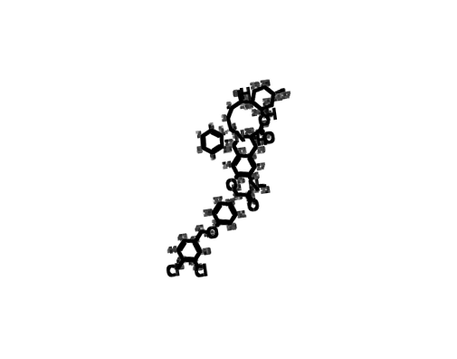 CC1CC[C@@H](c2ccccc2)N2Cc3cc4c(cc3C[C@H]2C(=O)O[C@@H]2C[C@H](C)CC[C@@H]12)N(C)C(=O)[C@H](c1ccc(OCc2ccc(Cl)c(Cl)c2)cc1)O4